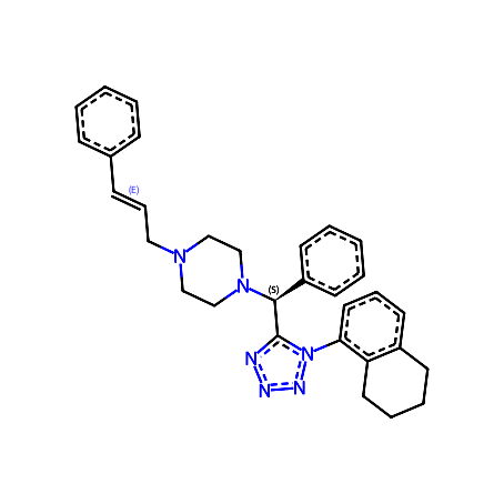 C(=C\c1ccccc1)/CN1CCN([C@@H](c2ccccc2)c2nnnn2-c2cccc3c2CCCC3)CC1